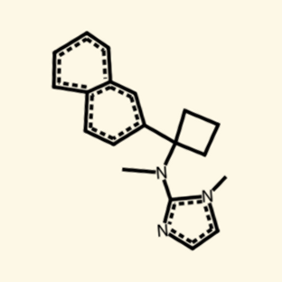 CN(c1nccn1C)C1(c2ccc3ccccc3c2)CCC1